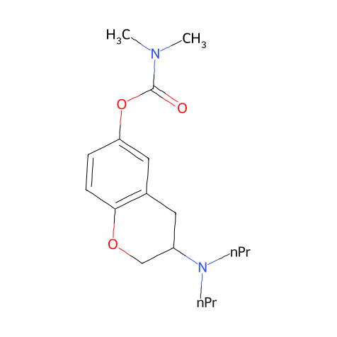 CCCN(CCC)C1COc2ccc(OC(=O)N(C)C)cc2C1